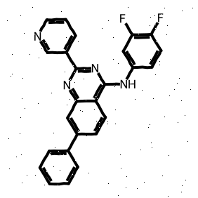 Fc1ccc(Nc2nc(-c3cccnc3)nc3cc(-c4ccccc4)ccc23)cc1F